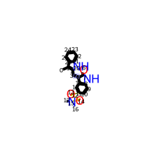 Cc1c(/C=C2\C(=O)Nc3ccc(S(=O)(=O)N(C)C)cc32)[nH]c2ccccc12